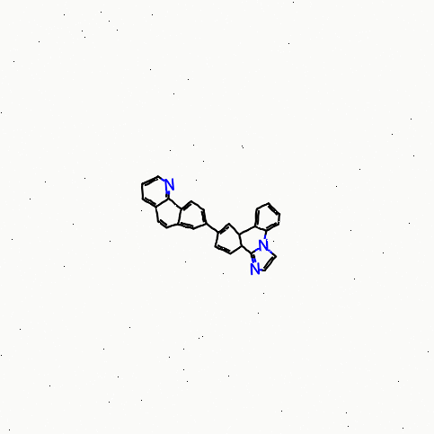 C1=CC2c3nccn3-c3ccccc3C2C=C1c1ccc2c(ccc3cccnc32)c1